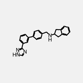 c1cc(-c2ccc(CNC3Cc4ccccc4C3)cc2)cc(-c2nc[nH]n2)c1